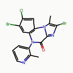 Cc1ncccc1-n1c(=O)c2nc(Br)c(C)n2c2cc(Cl)c(Br)cc21